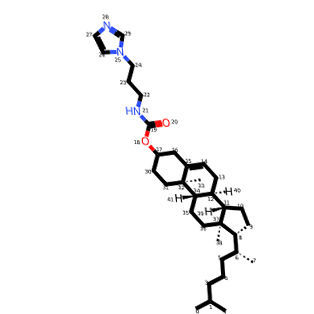 CC(C)CCC[C@@H](C)[C@H]1CC[C@H]2[C@@H]3CC=C4CC(OC(=O)NCCCn5ccnc5)CC[C@]4(C)[C@H]3CC[C@]12C